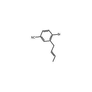 CC=CCc1cc(C#N)ccc1Br